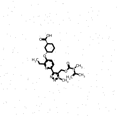 C=C(C)N(C)C(=O)OCc1c(-c2ccc(O[C@H]3CCC[C@H](C(=O)O)C3)c(CC)n2)nnn1C